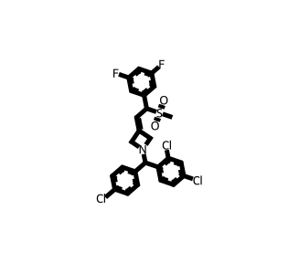 CS(=O)(=O)C(C=C1CN(C(c2ccc(Cl)cc2)c2ccc(Cl)cc2Cl)C1)c1cc(F)cc(F)c1